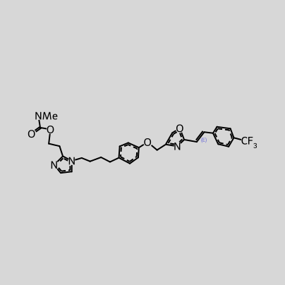 CNC(=O)OCCc1nccn1CCCCc1ccc(OCc2coc(/C=C/c3ccc(C(F)(F)F)cc3)n2)cc1